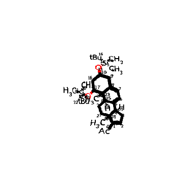 CC(=O)C1=CC[C@@H]2C3=CC=C4CC(O[Si](C)(C)C(C)(C)C)CC(O[Si](C)(C)C(C)(C)C)[C@@]4(C)[C@@H]3CC[C@@]12C